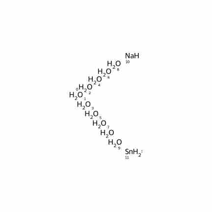 O.O.O.O.O.O.O.O.O.O.[NaH].[SnH2]